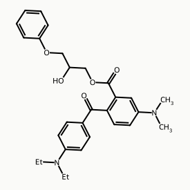 CCN(CC)c1ccc(C(=O)c2ccc(N(C)C)cc2C(=O)OCC(O)COc2ccccc2)cc1